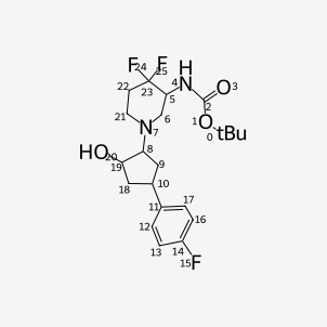 CC(C)(C)OC(=O)NC1CN(C2CC(c3ccc(F)cc3)CC2O)CCC1(F)F